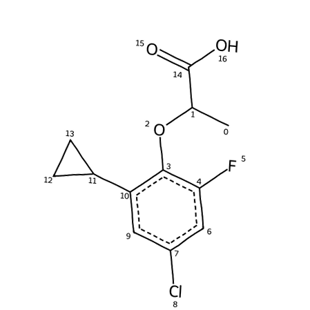 CC(Oc1c(F)cc(Cl)cc1C1CC1)C(=O)O